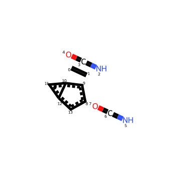 C=C.N=C=O.N=C=O.c1cc2cc-2c1